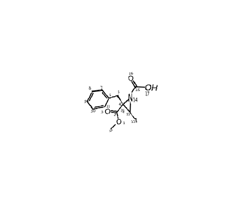 COC(=O)[C@@]1(Cc2ccccc2)C(I)N1C(=O)O